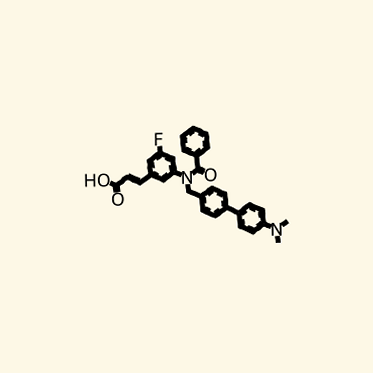 CN(C)c1ccc(-c2ccc(CN(C(=O)c3ccccc3)c3cc(F)cc(/C=C/C(=O)O)c3)cc2)cc1